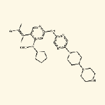 CC(=O)/C(C)=C(\C)c1cnc(Nc2cnc(N3CCC(N4CCNCC4)CC3)cn2)cc1N(C=O)C1CCCC1